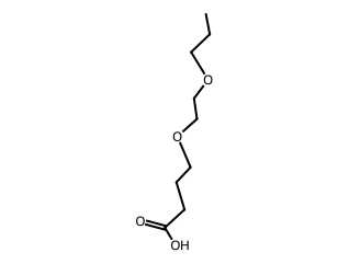 CCCOCCOCCCC(=O)O